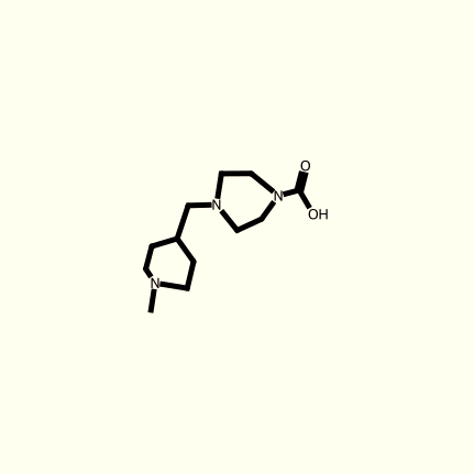 CN1CCC(CN2CCN(C(=O)O)CC2)CC1